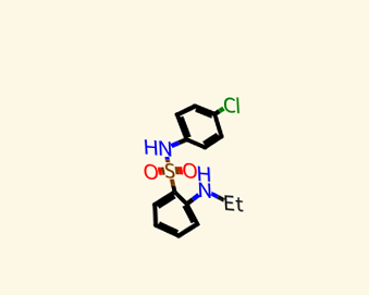 CCNc1ccccc1S(=O)(=O)Nc1ccc(Cl)cc1